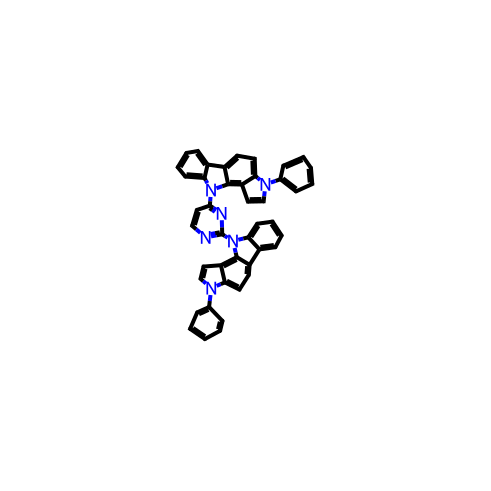 c1ccc(-n2ccc3c2ccc2c4ccccc4n(-c4ccnc(-n5c6ccccc6c6ccc7c(ccn7-c7ccccc7)c65)n4)c23)cc1